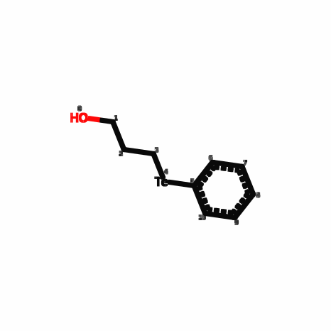 OCCC[Te]c1ccccc1